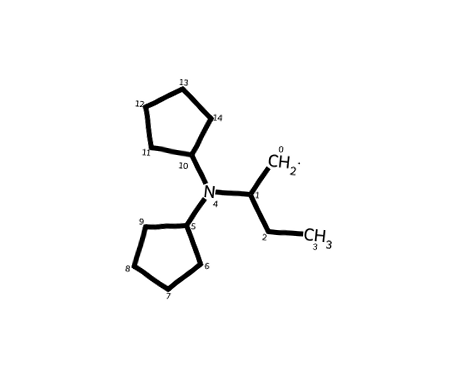 [CH2]C(CC)N(C1CCCC1)C1CCCC1